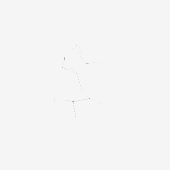 Cc1nonc1C1C(C)C1(C)C